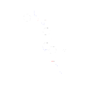 COc1cc2c(Oc3ccc(NC(=O)C4(C(=O)Nc5ccc(F)cc5)CC4)cc3)ccnc2cc1OC(=O)N1C(C)CN(C)CC1C